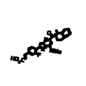 CNc1cc(C(=O)N2CCc3ccccc3C2C)nc2cc(-c3ccc(/C=C/C(=O)O)cc3F)nn12